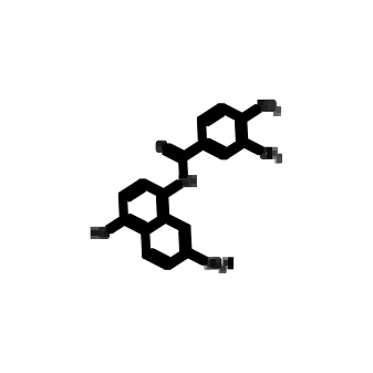 Cc1cc(C(=O)Nc2ccc(O)c3ccc(S(=O)(=O)O)cc23)ccc1[N+](=O)[O-]